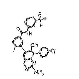 Cc1ccc(C(=O)Nc2cc(C(F)(F)F)ccn2)cc1-c1cc2cnc(N)nc2c(-c2ccc(Cl)cc2)c1O